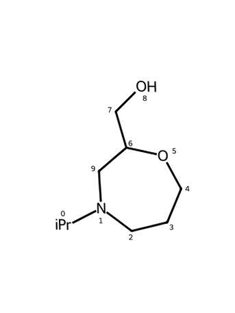 CC(C)N1CCCOC(CO)C1